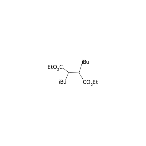 CCOC(=O)C(C(C)CC)C(C(=O)OCC)C(C)CC